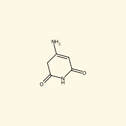 NC1=CC(=O)NC(=O)C1